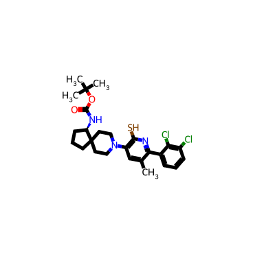 Cc1cc(N2CCC3(CCC[C@H]3NC(=O)OC(C)(C)C)CC2)c(S)nc1-c1cccc(Cl)c1Cl